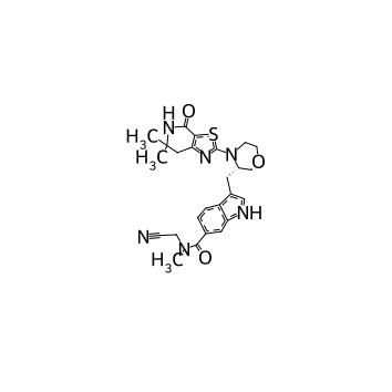 CN(CC#N)C(=O)c1ccc2c(C[C@H]3COCCN3c3nc4c(s3)C(=O)NC(C)(C)C4)c[nH]c2c1